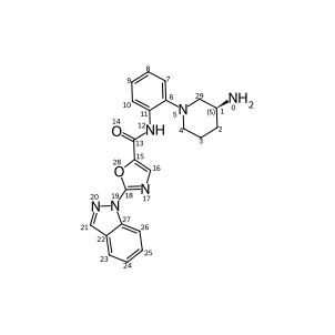 N[C@H]1CCCN(c2ccccc2NC(=O)c2cnc(-n3ncc4ccccc43)o2)C1